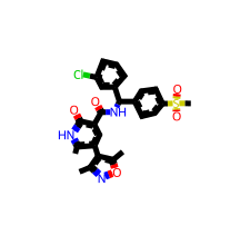 Cc1noc(C)c1-c1cc(C(=O)NC(c2ccc(S(C)(=O)=O)cc2)c2cccc(Cl)c2)c(=O)[nH]c1C